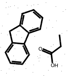 CCC(=O)O.c1ccc2c(c1)Cc1ccccc1-2